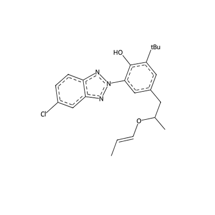 CC=COC(C)Cc1cc(-n2nc3ccc(Cl)cc3n2)c(O)c(C(C)(C)C)c1